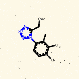 CC(=O)OCc1nnnn1-c1ccc(C#N)c(C(F)(F)F)c1C